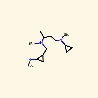 CC(CCN(C1CC1)C(C)(C)C)N(CC1CC1NC(C)(C)C)C(C)(C)C